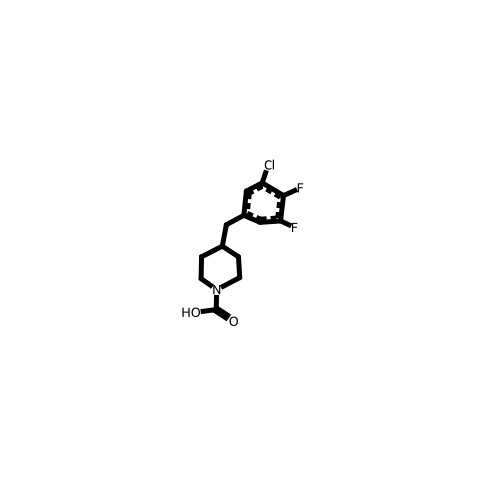 O=C(O)N1CCC(Cc2cc(F)c(F)c(Cl)c2)CC1